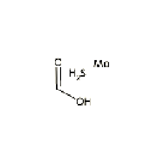 O=CO.S.[Mo]